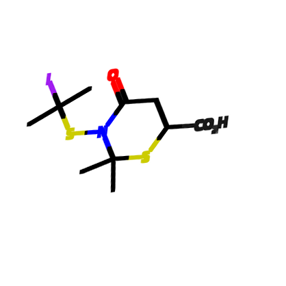 CC(C)(I)SN1C(=O)CC(C(=O)O)SC1(C)C